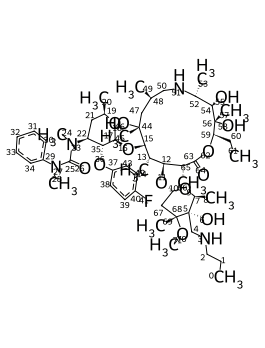 CCCNC[C@]1(O)[C@H](C)O[C@@H](O[C@H]2[C@H](C)[C@@H](O[C@@H]3O[C@H](C)C[C@H](N(C)C(=O)N(C)c4ccccc4)[C@H]3Oc3ccc(F)cc3)[C@](C)(O)C[C@@H](C)CN[C@H](C)[C@@H](O)[C@](C)(O)[C@@H](CC)OC(=O)[C@@H]2C)C[C@@]1(C)OC